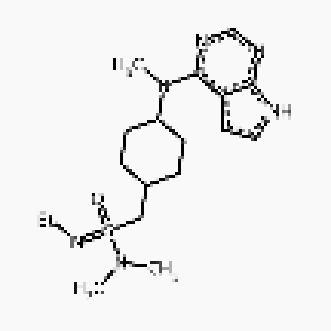 CCN=S(=O)(CC1CCC(N(C)c2ncnc3[nH]ccc23)CC1)N(C)C